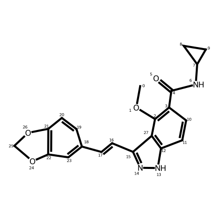 COc1c(C(=O)NC2CC2)ccc2[nH]nc(/C=C/c3ccc4c(c3)OCO4)c12